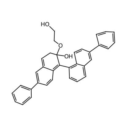 OCCOC1(O)CC=c2cc(-c3ccccc3)ccc2=C1c1cccc2cc(-c3ccccc3)ccc12